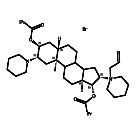 C=CC[N+]1([C@H]2CC3C4CC[C@H]5C[C@H](OC(=O)C(C)C)[C@@H](N6CCCCC6)C[C@]5(C)C4CC[C@]3(C)[C@H]2OC(=O)C(C)C)CCCCC1.[Br-]